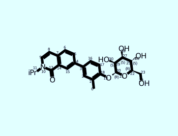 Cc1cc(-c2ccc3ccn(C(C)C)c(=O)c3c2)ccc1O[C@H]1O[C@H](CO)[C@@H](O)[C@H](O)[C@@H]1O